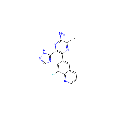 N#Cc1nc(-c2cc(F)c3ncccc3c2)c(-c2ncn[nH]2)nc1N